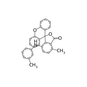 Cc1cccc(Nc2ccc(C)c3c2C2(OC3=O)c3ccccc3Oc3ccccc32)c1